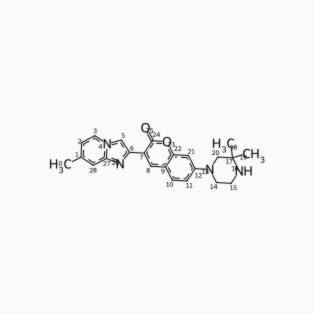 Cc1ccn2cc(-c3cc4ccc(N5CCNC(C)(C)C5)cc4oc3=O)nc2c1